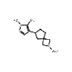 Cn1ncc(C2CCC3(C2)CN(C(=O)O)C3)c1C(F)(F)F